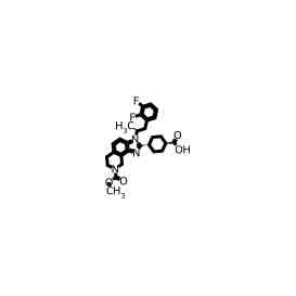 COC(=O)N1CCc2ccc3c(nc([C@H]4CC[C@H](C(=O)O)CC4)n3[C@H](C)Cc3cccc(F)c3F)c2C1